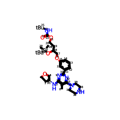 Cc1c(N[C@@H]2CCOC2)nc(-c2cccc(OCC(CCOC(=O)NC(C)(C)C)O[Si](C)(C)C(C)(C)C)c2)nc1N1CCNCC1